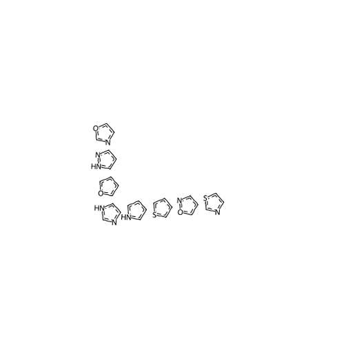 c1c[nH]cn1.c1cc[nH]c1.c1ccoc1.c1ccsc1.c1cn[nH]c1.c1cnoc1.c1cocn1.c1cscn1